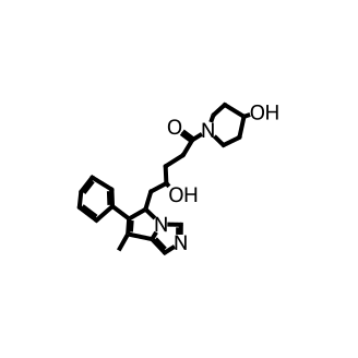 CC1=C(c2ccccc2)C(CC(O)CCC(=O)N2CCC(O)CC2)n2cncc21